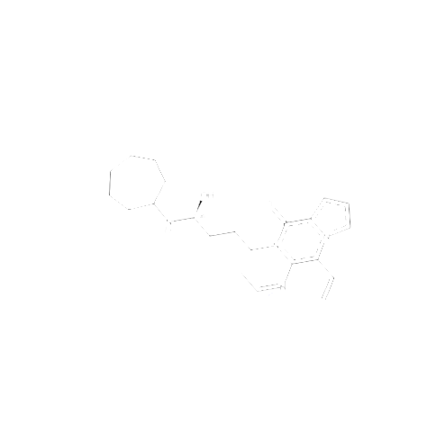 C=Cc1c(/N=C\C)n(CCC[C@H](O)NC2CCCCCC2)c(=O)c2cccn12